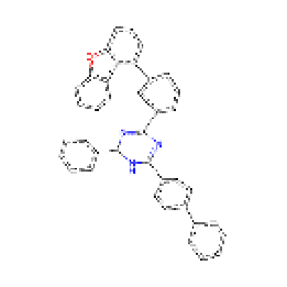 c1ccc(-c2ccc(C3=NC(c4cccc(-c5cccc6oc7ccccc7c56)c4)=NC(c4ccccc4)N3)cc2)cc1